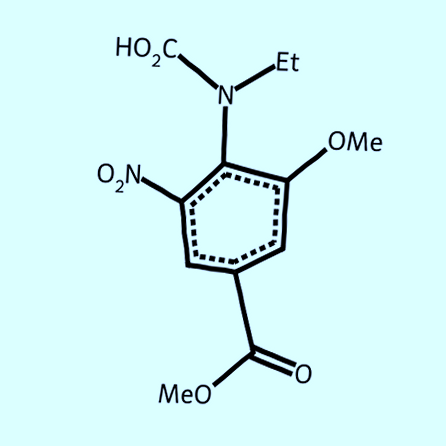 CCN(C(=O)O)c1c(OC)cc(C(=O)OC)cc1[N+](=O)[O-]